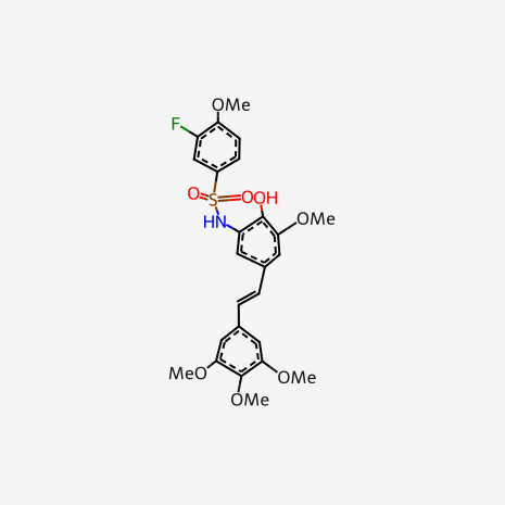 COc1ccc(S(=O)(=O)Nc2cc(C=Cc3cc(OC)c(OC)c(OC)c3)cc(OC)c2O)cc1F